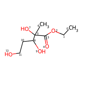 CCOC(=O)C(C)(O)C(O)CCO